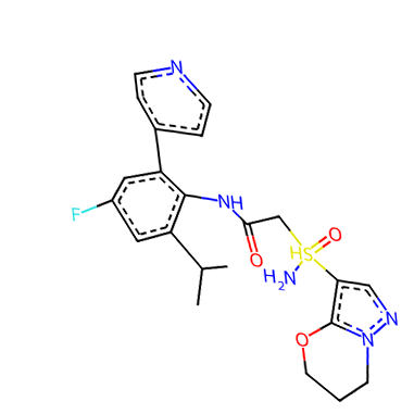 CC(C)c1cc(F)cc(-c2ccncc2)c1NC(=O)C[SH](N)(=O)c1cnn2c1OCCC2